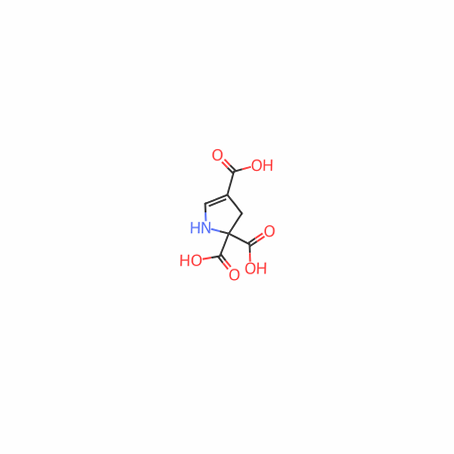 O=C(O)C1=CNC(C(=O)O)(C(=O)O)C1